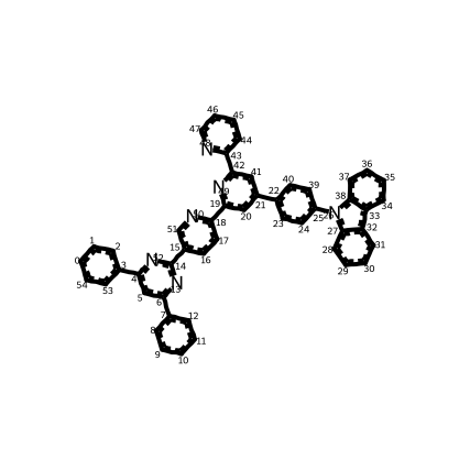 c1ccc(-c2cc(-c3ccccc3)nc(-c3ccc(-c4cc(-c5ccc(-n6c7ccccc7c7ccccc76)cc5)cc(-c5ccccn5)n4)nc3)n2)cc1